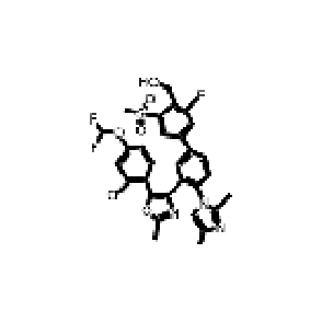 Cc1cn(-c2ccc(-c3cc(F)c(CO)c(S(C)(=O)=O)c3)cc2-c2nc(C)oc2-c2ccc(OC(F)F)cc2Cl)c(C)n1